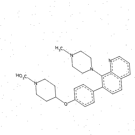 CN1CCN(c2c(-c3ccc(OC4CCN(C(=O)O)CC4)cc3)ccc3cccnc23)CC1